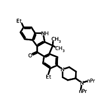 CCCN(CCC)C1CCN(c2cc3c(cc2CC)C(=O)c2c([nH]c4cc(CC)ccc24)C3(C)C)CC1